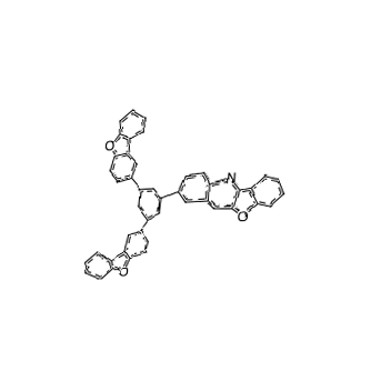 c1ccc2c(c1)oc1ccc(-c3cc(-c4ccc5nc6c(cc5c4)oc4ccccc46)cc(-c4ccc5oc6ccccc6c5c4)c3)cc12